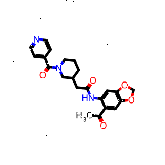 CC(=O)c1cc2c(cc1NC(=O)CC1CCCN(C(=O)c3ccncc3)C1)OCO2